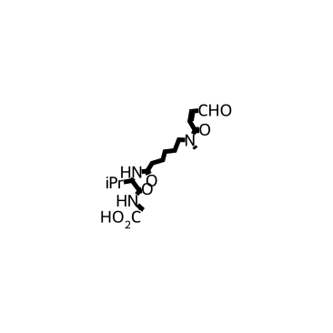 CC(C)C(NC(=O)CCCCCN(C)C(=O)/C=C\C=O)C(=O)NCC(=O)O